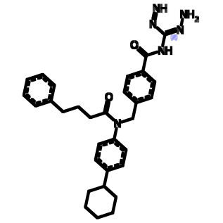 N=N/C(=N\N)NC(=O)c1ccc(CN(C(=O)CCCc2ccccc2)c2ccc(C3CCCCC3)cc2)cc1